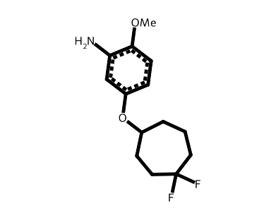 COc1ccc(OC2CCCC(F)(F)CC2)cc1N